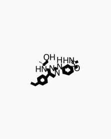 CCc1ccc(-c2cnc(Nc3cccc(S(C)(=N)=O)c3)nc2N[C@H](C)CO)cc1